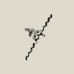 CCCCCCCCOC(=O)CC(C(=O)OCCCCCCCC)S(=O)(=O)O.O=[SH](=O)[O-].[Na+]